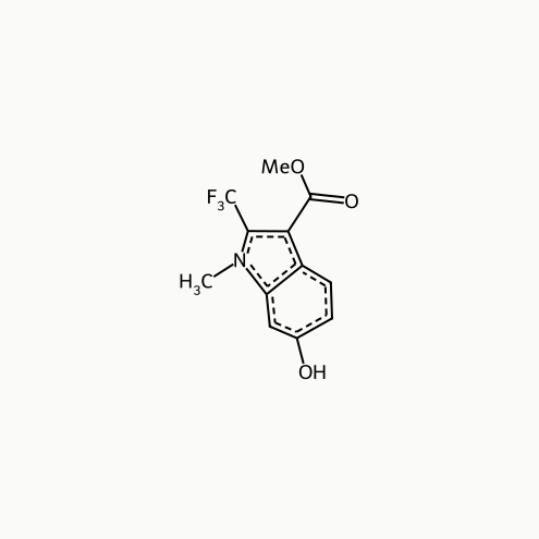 COC(=O)c1c(C(F)(F)F)n(C)c2cc(O)ccc12